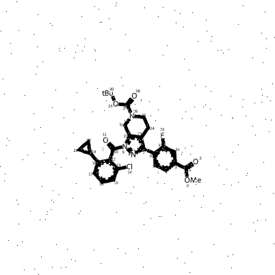 COC(=O)c1ccc(-c2nn(C(=O)c3c(Cl)cccc3C3CC3)c3c2CCN(C(=O)OC(C)(C)C)C3)c(F)c1